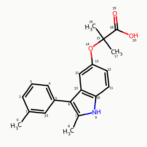 Cc1cccc(-c2c(C)[nH]c3ccc(OC(C)(C)C(=O)O)cc23)c1